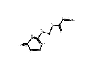 C=CC(=O)OCSc1nccc(=O)[nH]1